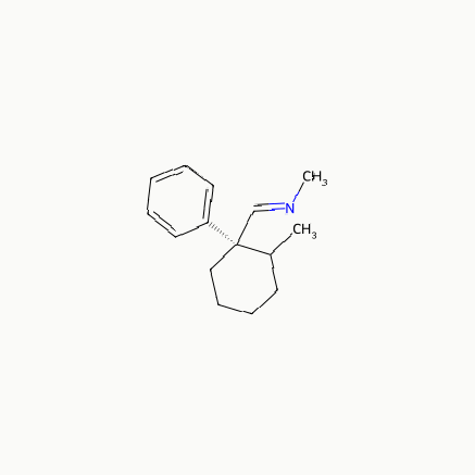 C/N=C/[C@]1(c2ccccc2)CCCCC1C